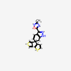 Cc1noc(-c2n[nH]c3c2C=CC(c2ccsc2)(c2ccsc2)C3)n1